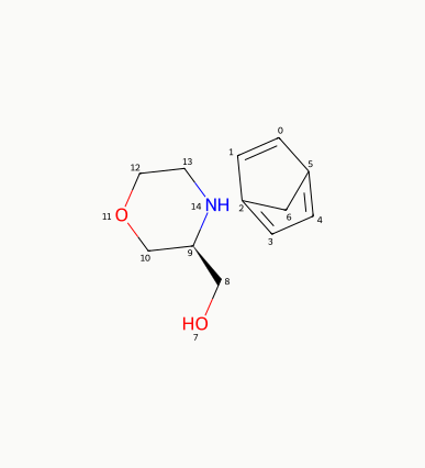 C1=CC2=CC=C1C2.OC[C@H]1COCCN1